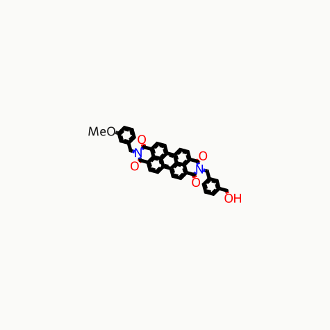 COc1cccc(CN2C(=O)c3ccc4c5ccc6c7c(ccc(c8ccc(c3c48)C2=O)c75)C(=O)N(Cc2cccc(CO)c2)C6=O)c1